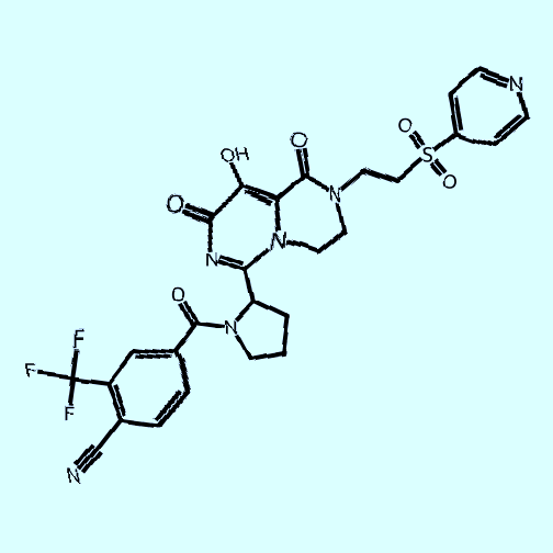 N#Cc1ccc(C(=O)N2CCCC2c2nc(=O)c(O)c3n2CCN(CCS(=O)(=O)c2ccncc2)C3=O)cc1C(F)(F)F